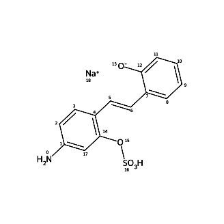 Nc1ccc(C=Cc2ccccc2[O-])c(OS(=O)(=O)O)c1.[Na+]